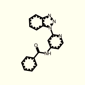 O=C(Nc1ccnc(-n2nnc3ccccc32)c1)c1ccccc1